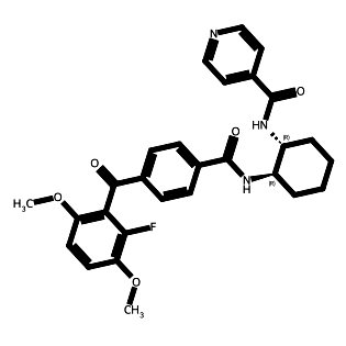 COc1ccc(OC)c(C(=O)c2ccc(C(=O)N[C@@H]3CCCC[C@H]3NC(=O)c3ccncc3)cc2)c1F